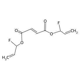 C=CC(F)OC(=O)C=CC(=O)OC(F)C=C